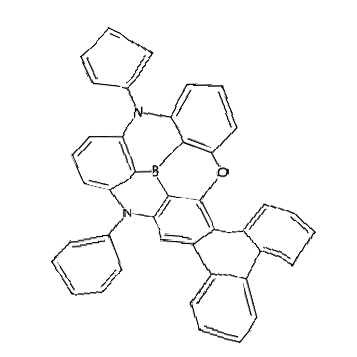 c1ccc(N2c3cccc4c3B3c5c2cccc5N(c2ccccc2)c2cc5c6ccccc6c6ccccc6c5c(c23)O4)cc1